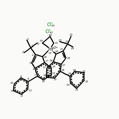 CC(C)(C)C1=Cc2c(-c3ccccc3)cccc2[CH]1[Hf+2]1([CH]2C(C(C)(C)C)=Cc3c(-c4ccccc4)cccc32)[CH2]C[CH2]1.[Cl-].[Cl-]